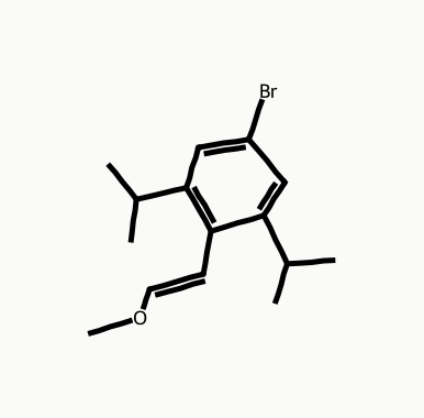 COC=Cc1c(C(C)C)cc(Br)cc1C(C)C